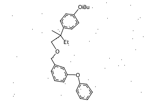 CCC(C)(COCc1cccc(Oc2ccccc2)c1)c1ccc(OCC(C)C)cc1